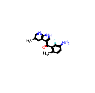 Cc1cnc2[nH]cc(C(=O)c3c(C)ccc(N)c3F)c2c1